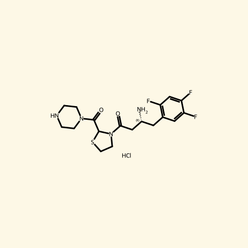 Cl.N[C@@H](CC(=O)N1CCSC1C(=O)N1CCNCC1)Cc1cc(F)c(F)cc1F